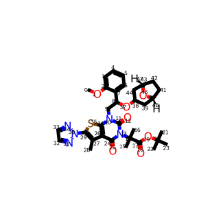 COc1ccccc1C(Cn1c(=O)n(C(C)(C)C(=O)OC(C)(C)C)c(=O)c2c(C)c(-n3nccn3)sc21)OC1C[C@H]2CC[C@@H](C1)O2